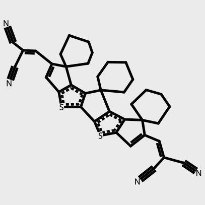 N#CC(C#N)=CC1=Cc2sc3c(c2C12CCCCC2)C1(CCCCC1)c1c-3sc2c1C1(CCCCC1)C(C=C(C#N)C#N)=C2